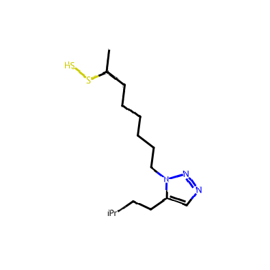 CC(C)CCc1cnnn1CCCCCCC(C)SS